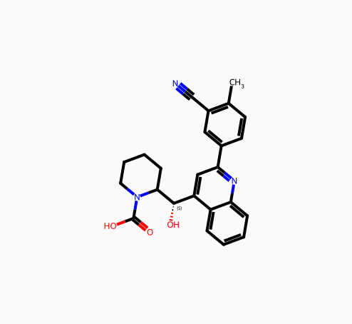 Cc1ccc(-c2cc([C@H](O)C3CCCCN3C(=O)O)c3ccccc3n2)cc1C#N